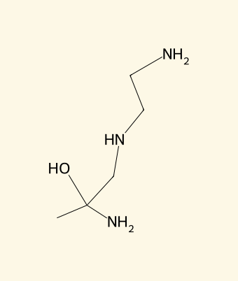 CC(N)(O)CNCCN